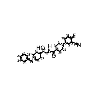 N#Cc1cc(N2CCC(C(=O)NC[C@@H](O)C3CCN(Cc4ccccc4)CC3)CC2)ccc1F